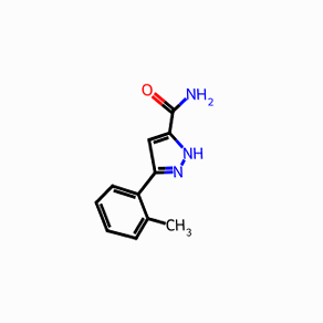 Cc1ccccc1-c1cc(C(N)=O)[nH]n1